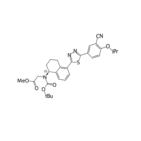 COC(=O)CN(C(=O)OC(C)(C)C)[C@H]1CCCc2c(-c3nnc(-c4ccc(OC(C)C)c(C#N)c4)s3)cccc21